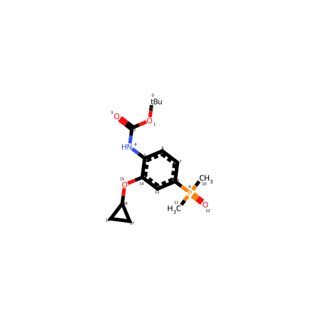 CC(C)(C)OC(=O)Nc1ccc(P(C)(C)=O)cc1OC1CC1